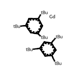 CC(C)(C)c1cc(C(C)(C)C)cc(C(C)(C)C)c1.CC(C)(C)c1cc(C(C)(C)C)cc(C(C)(C)C)c1.[Gd]